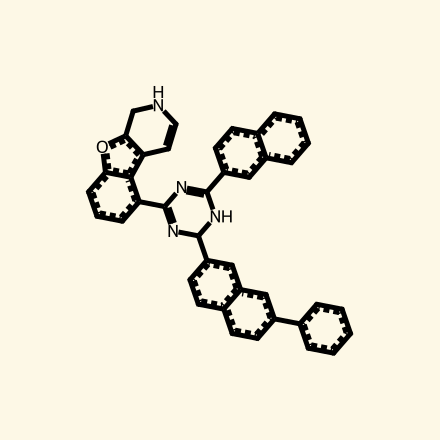 C1=Cc2c(oc3cccc(C4=NC(c5ccc6ccc(-c7ccccc7)cc6c5)NC(c5ccc6ccccc6c5)=N4)c23)CN1